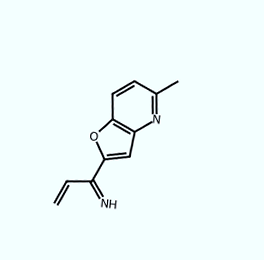 C=CC(=N)c1cc2nc(C)ccc2o1